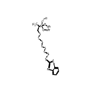 CCCO[Si](OCCC)(OCCC)C(C)CSSSSSSSSc1nc2ccccc2s1